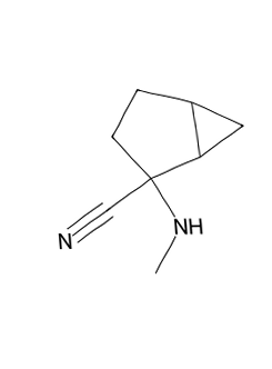 CNC1(C#N)CCC2CC21